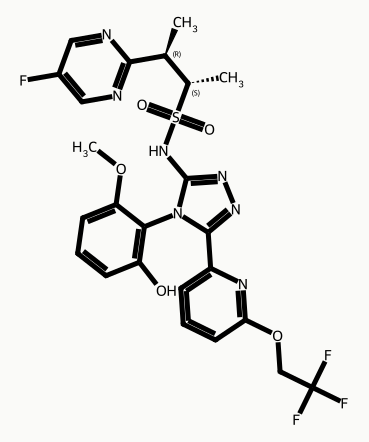 COc1cccc(O)c1-n1c(NS(=O)(=O)[C@@H](C)[C@H](C)c2ncc(F)cn2)nnc1C1=C=C=CC(OCC(F)(F)F)=N1